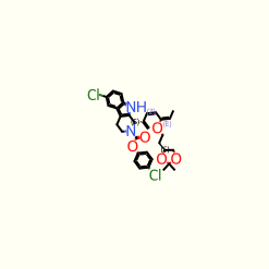 C=C(/C=C\C(=C/C)OCC[C@H]1COC(C)(C)O1)[C@H]1c2[nH]c3ccc(Cl)cc3c2CCN1C(=O)Oc1ccc(Cl)cc1